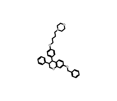 c1ccc(COc2ccc3c(c2)OCC(c2ccccc2)C3c2ccc(OCCCCN3CCOCC3)cc2)cc1